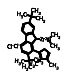 CC1=CCC(c2c(C(C)(C)C)ccc3c2[CH]([Zr+2]=[Si](C)C)c2cc(C(C)(C)C)ccc2-3)=C1C.[Cl-].[Cl-]